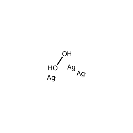 OO.[Ag].[Ag].[Ag]